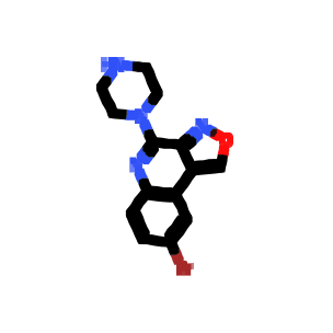 Brc1ccc2nc(N3CCNCC3)c3nocc3c2c1